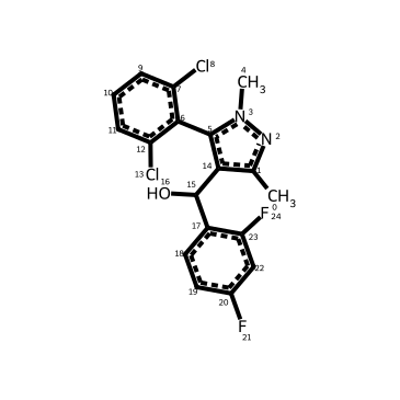 Cc1nn(C)c(-c2c(Cl)cccc2Cl)c1C(O)c1ccc(F)cc1F